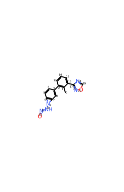 Cc1c(-c2ccc3c(c2)N3NN=O)cccc1-c1ncon1